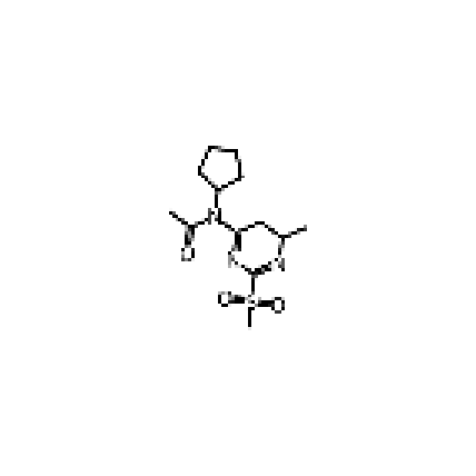 CC(=O)N(C1=NC(S(C)(=O)=O)=NC(C)C1)C1CCCC1